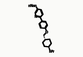 CCCCCCCCCc1ccc(-c2ccc(OC[C@H]3CC[C@H](CCC)CC3)cc2)nc1